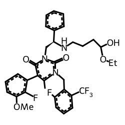 CCOC(O)CCCN[C@@H](Cn1c(=O)c(-c2cccc(OC)c2F)c(C)n(Cc2c(F)cccc2C(F)(F)F)c1=O)c1ccccc1